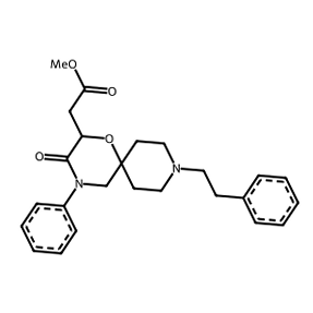 COC(=O)CC1OC2(CCN(CCc3ccccc3)CC2)CN(c2ccccc2)C1=O